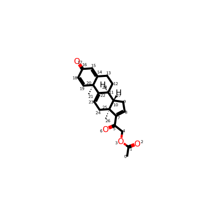 CC(=O)OCC(=O)C1=CC[C@H]2[C@@H]3CCC4=CC(=O)C=C[C@]4(C)C3=CC[C@]12C